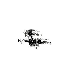 CC=CCCc1ccccc1N=C(C)C(CCCC)=Nc1ccccc1CCC=CC.CCCCCc1ccc(O)c(O)c1C(=O)[O-].CCCCCc1ccc(O)c(O)c1C(=O)[O-].[Ni+2]